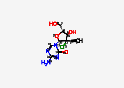 C#C[C@@]1(Cl)C(O)[C@@H](CO)O[C@H]1n1cnc(N)nc1=O